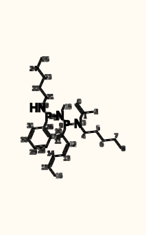 C=C(C)N(CCCCC)P(C(=C)/C=C\C=C/C)N(C)P(NCCCCC)c1ccccc1